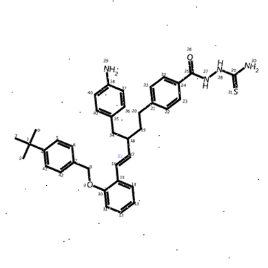 CC(C)(C)c1ccc(COc2ccccc2/C=C/C(CCc2ccc(C(=O)NNC(N)=S)cc2)Cc2ccc(N)cc2)cc1